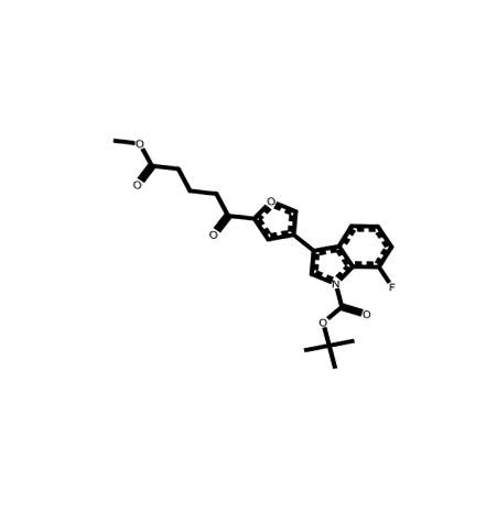 COC(=O)CCCC(=O)c1cc(-c2cn(C(=O)OC(C)(C)C)c3c(F)cccc23)co1